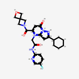 O=C(Cn1c(C(=O)N2CC3(COC3)C2)cc(=O)n2nc(C3CCCCC3)cc12)Nc1ccc(F)cn1